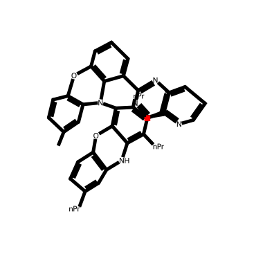 CCCc1ccc2c(c1)Nc1c(CCC)c(-c3ncccn3)c(CCC)c(N3c4cc(C)ccc4Oc4cccc(-c5ncccn5)c43)c1O2